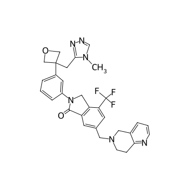 Cn1cnnc1CC1(c2cccc(N3Cc4c(cc(CN5CCc6ncccc6C5)cc4C(F)(F)F)C3=O)c2)COC1